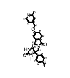 Cc1cc(COC2=CC3=C(CC2)C(=O)N(CC2(c4ccc(F)cc4)NC(=O)NC2=O)C3)ccn1